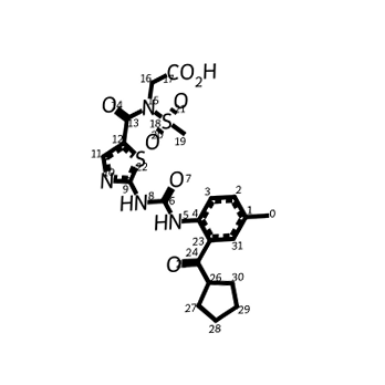 Cc1ccc(NC(=O)Nc2ncc(C(=O)N(CC(=O)O)S(C)(=O)=O)s2)c(C(=O)C2CCCC2)c1